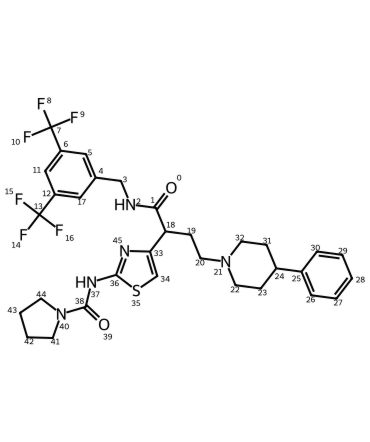 O=C(NCc1cc(C(F)(F)F)cc(C(F)(F)F)c1)C(CCN1CCC(c2ccccc2)CC1)c1csc(NC(=O)N2CCCC2)n1